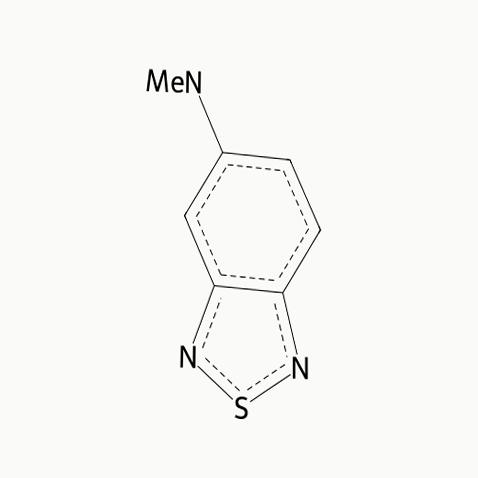 CNc1ccc2nsnc2c1